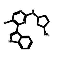 N[C@@H]1CC[C@H](Nc2ncc(Cl)c(-c3c[nH]c4ccccc34)n2)C1